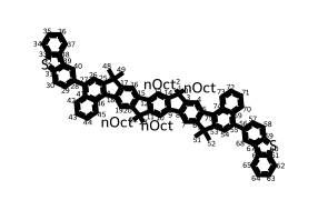 CCCCCCCCC1(CCCCCCCC)c2cc3c(cc2-c2cc4c(cc21)-c1cc2c(cc1C4(CCCCCCCC)CCCCCCCC)-c1c(cc(-c4ccc5sc6ccccc6c5c4)c4ccccc14)C2(C)C)C(C)(C)c1cc(-c2ccc4sc5ccccc5c4c2)c2ccccc2c1-3